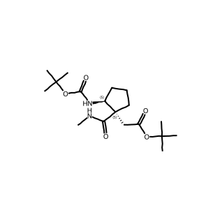 CNC(=O)[C@]1(CC(=O)OC(C)(C)C)CCC[C@@H]1NC(=O)OC(C)(C)C